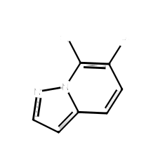 Clc1c(Br)ccc2ccnn12